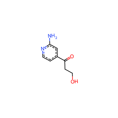 Nc1cc(C(=O)CCO)ccn1